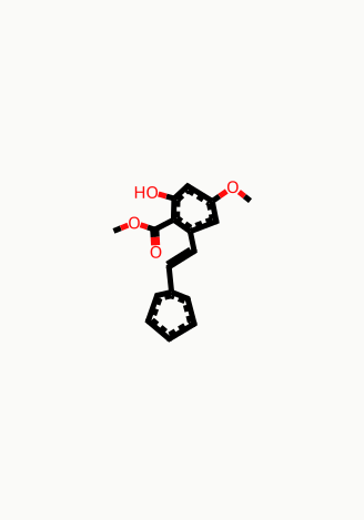 COC(=O)c1c(O)cc(OC)cc1C=Cc1ccccc1